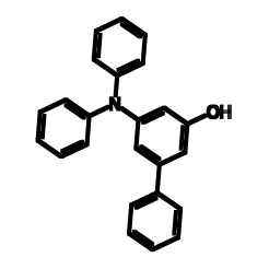 Oc1cc(-c2ccccc2)cc(N(c2ccccc2)c2ccccc2)c1